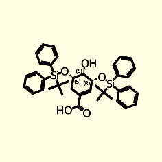 CC(C)(C)[Si](O[C@H]1CC(C(=O)O)=C[C@@H](O[Si](c2ccccc2)(c2ccccc2)C(C)(C)C)[C@H]1O)(c1ccccc1)c1ccccc1